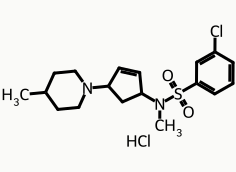 CC1CCN(C2C=CC(N(C)S(=O)(=O)c3cccc(Cl)c3)C2)CC1.Cl